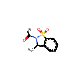 CC(C)C(=O)N1C(C)c2ccccc2S1(=O)=O